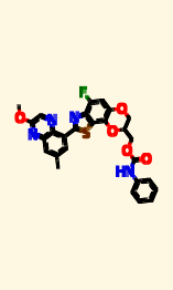 COc1cnc2c(-c3nc4c(F)cc5c(c4s3)OC(COC(=O)Nc3ccccc3)CO5)cc(C)cc2n1